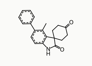 Cc1c(-c2ccccc2)ccc2c1C1(CCC(=O)CC1)C(=O)N2